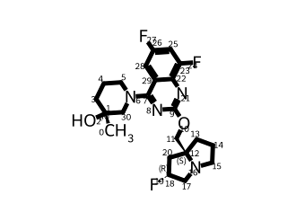 C[C@@]1(O)CCCN(c2nc(OC[C@@]34CCCN3C[C@H](F)C4)nc3c(F)cc(F)cc23)C1